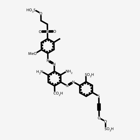 COc1cc(S(=O)(=O)CCOS(=O)(=O)O)c(C)cc1N=Nc1c(N)cc(C(=O)O)c(N=Nc2ccc(SC#COOS(=O)(=O)O)cc2S(=O)(=O)O)c1N